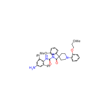 COCCOc1ccccc1N1CCC(C(=O)NC(=O)Nc2c(C(C)C)cc(N)cc2C(C)C)(c2cccc(OC)c2)CC1